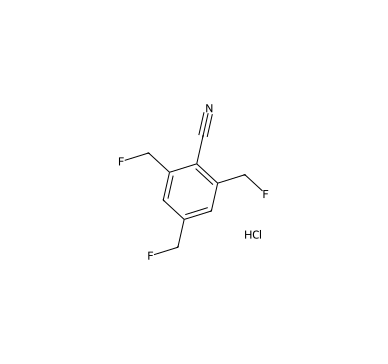 Cl.N#Cc1c(CF)cc(CF)cc1CF